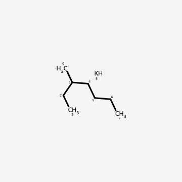 [CH2]C(CC)CCCC.[KH]